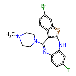 CN1CCN(C2=Nc3ccc(F)cc3Nc3sc4cc(Br)ccc4c32)CC1